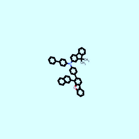 CC1(C)c2ccccc2-c2ccc(N(c3ccc(-c4ccccc4)cc3)c3ccc(-c4ccc5c(oc6ccccc65)c4-c4ccc5ccccc5c4)cc3)cc21